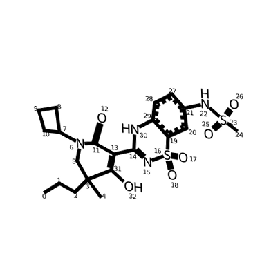 CCCC1(C)CN(C2CCC2)C(=O)C(C2=NS(=O)(=O)c3cc(NS(C)(=O)=O)ccc3N2)=C1O